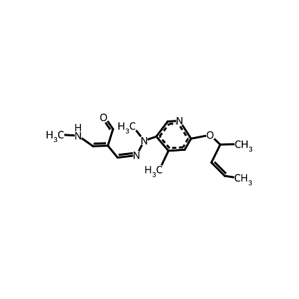 C/C=C\C(C)Oc1cc(C)c(N(C)/N=C\C(C=O)=C\NC)cn1